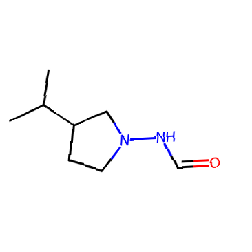 CC(C)C1CCN(NC=O)C1